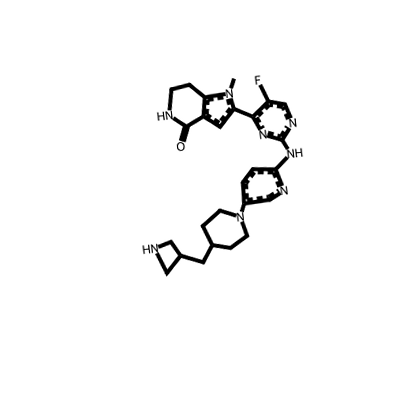 Cn1c(-c2nc(Nc3ccc(N4CCC(CC5CNC5)CC4)cn3)ncc2F)cc2c1CCNC2=O